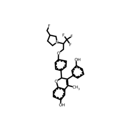 CC1=C(c2cccc(O)c2)C(c2ccc(OCC(N3CCC(CF)C3)C(F)(F)F)cc2)Oc2ccc(O)cc21